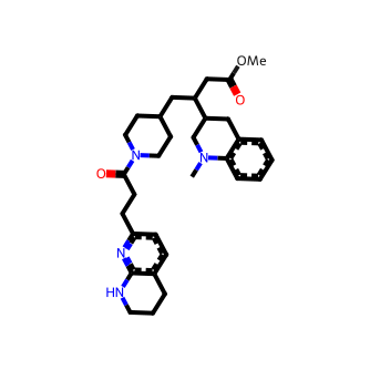 COC(=O)CC(CC1CCN(C(=O)CCc2ccc3c(n2)NCCC3)CC1)C1Cc2ccccc2N(C)C1